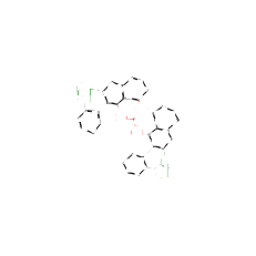 O=C(Oc1c(-c2ccccc2Cl)c(Cl)cc2ccccc12)Oc1c(-c2ccccc2Cl)c(Cl)cc2ccccc12